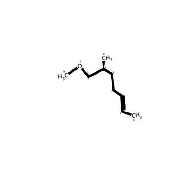 C/C=C/CC[C@H](C)COC